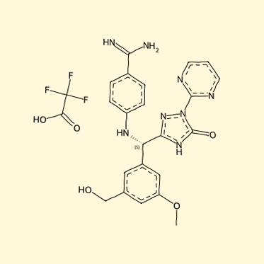 COc1cc(CO)cc([C@H](Nc2ccc(C(=N)N)cc2)c2nn(-c3ncccn3)c(=O)[nH]2)c1.O=C(O)C(F)(F)F